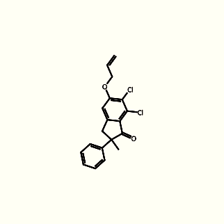 C=CCOc1cc2c(c(Cl)c1Cl)C(=O)C(C)(c1ccccc1)C2